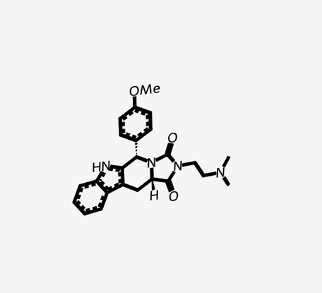 COc1ccc([C@H]2c3[nH]c4ccccc4c3C[C@H]3C(=O)N(CCN(C)C)C(=O)N23)cc1